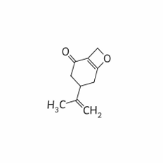 C=C(C)C1CC(=O)C2=C(C1)OC2